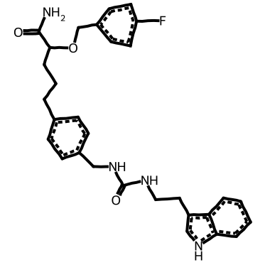 NC(=O)C(CCCc1ccc(CNC(=O)NCCc2c[nH]c3ccccc23)cc1)OCc1ccc(F)cc1